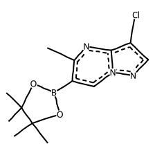 Cc1nc2c(Cl)cnn2cc1B1OC(C)(C)C(C)(C)O1